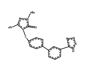 CCCCn1nc(CCC)n(Cc2ccc(-c3cccc(-c4nnn[nH]4)c3)cc2)c1=O